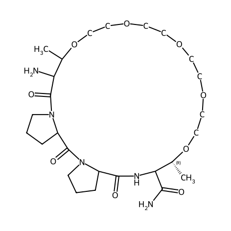 CC1OCCOCCOCCOCCO[C@H](C)C(C(N)=O)NC(=O)C2CCCN2C(=O)C2CCCN2C(=O)C1N